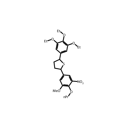 CCCOc1c(OC)cc(C2CCC(c3cc(OCC)c(OCC)c(OCC)c3)S2)cc1[N+](=O)[O-]